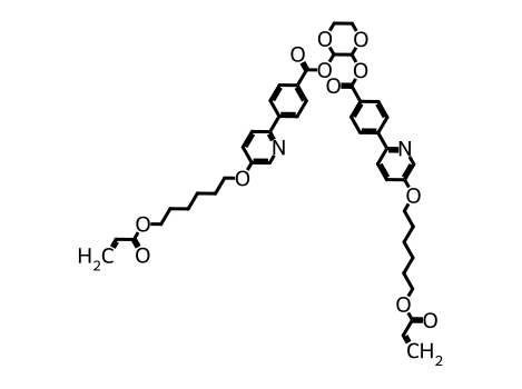 C=CC(=O)OCCCCCCOc1ccc(-c2ccc(C(=O)OC3OCCOC3OC(=O)c3ccc(-c4ccc(OCCCCCCOC(=O)C=C)cn4)cc3)cc2)nc1